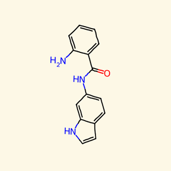 Nc1ccccc1C(=O)Nc1ccc2cc[nH]c2c1